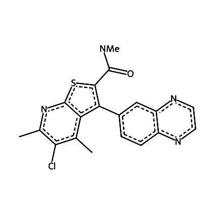 CNC(=O)c1sc2nc(C)c(Cl)c(C)c2c1-c1ccc2nccnc2c1